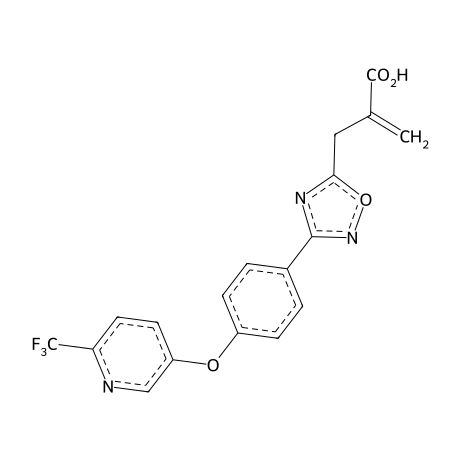 C=C(Cc1nc(-c2ccc(Oc3ccc(C(F)(F)F)nc3)cc2)no1)C(=O)O